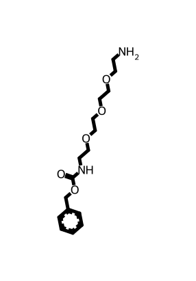 NCCOCCOCCOCCNC(=O)OCc1ccccc1